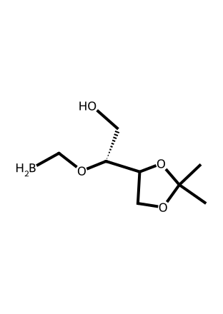 BCO[C@H](CO)C1COC(C)(C)O1